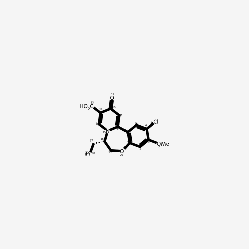 COc1cc2c(cc1Cl)-c1cc(=O)c(C(=O)O)cn1[C@@H](CC(C)C)CO2